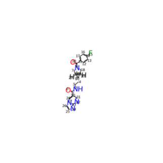 O=C(NCC[C@@H]1[C@H]2CN(C(=O)c3ccc(F)cc3)C[C@@H]12)c1cnc2nccn2c1